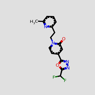 Cc1cccc(CCn2ccc(-c3nnc(C(F)F)o3)cc2=O)n1